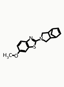 COc1ccc2nc(N3CC4C5C=CC(C5)C4C3)sc2c1